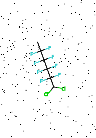 CC(F)(F)C(F)(F)C(F)(F)C(F)(F)C(Cl)Cl